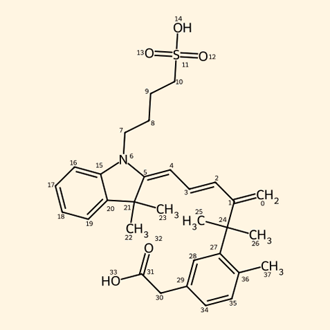 C=C(/C=C/C=C1/N(CCCCS(=O)(=O)O)c2ccccc2C1(C)C)C(C)(C)c1cc(CC(=O)O)ccc1C